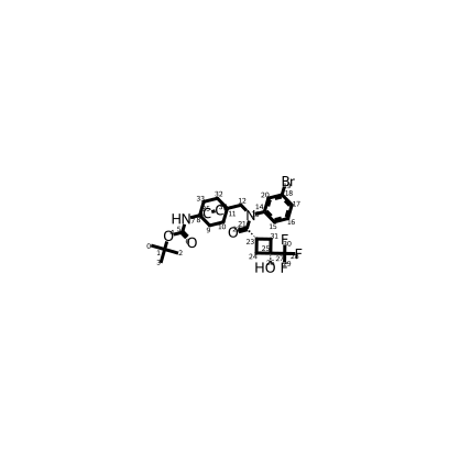 CC(C)(C)OC(=O)NC12CCC(CN(c3cccc(Br)c3)C(=O)[C@H]3C[C@](O)(C(F)(F)F)C3)(CC1)CC2